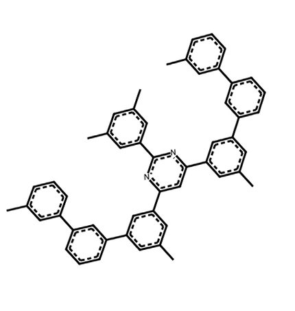 Cc1cccc(-c2cccc(-c3cc(C)cc(-c4cc(-c5cc(C)cc(-c6cccc(-c7cccc(C)c7)c6)c5)nc(-c5cc(C)cc(C)c5)n4)c3)c2)c1